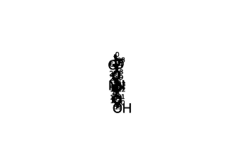 CCC(C)OC(=O)c1ccc(-c2ncc(-c3ccc(O)cc3)cn2)cc1